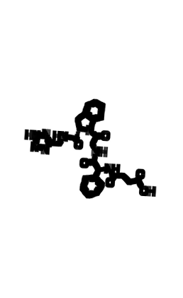 O=C(O)CCC(=O)N[C@H](C(=O)NCC(=O)N1c2ccccc2C[C@H]1C(=O)NCc1nn[nH]n1)c1ccccc1